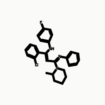 CC1CCCCN1C(C=C(Nc1ccc(F)cc1)c1ccccc1Cl)=Nc1ccccc1